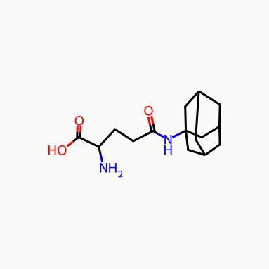 NC(CCC(=O)NC12CC3CC(CC(C3)C1)C2)C(=O)O